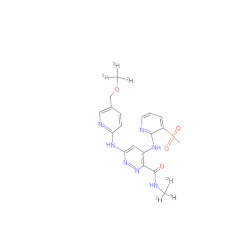 [2H]C([2H])([2H])NC(=O)c1nnc(Nc2ccc(COC([2H])([2H])[2H])cn2)cc1Nc1ncccc1S(C)(=O)=O